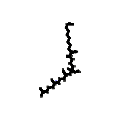 CCCCCCCCCCCCCCCCCC(=O)NCCC[N+](C)(C)CC(=O)OC/C=C(\C)CCC=C(C)C.[Cl-]